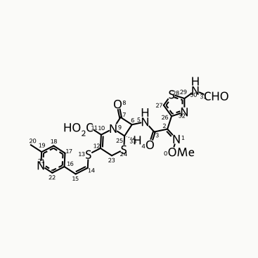 CO/N=C(\C(=O)NC1C(=O)N2C(C(=O)O)=C(S/C=C\c3ccc(C)nc3)CS[C@H]12)c1csc(NC=O)n1